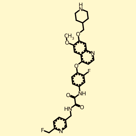 COc1cc2c(Oc3ccc(NC(=O)C(=O)NCc4ccc(CF)nc4)cc3F)ccnc2cc1OCC1CCNCC1